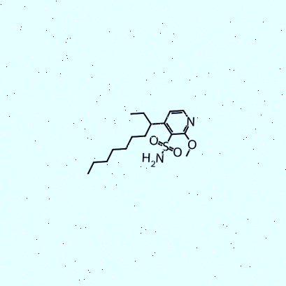 CCCCCCCC(CC)c1ccnc(OC)c1S(N)(=O)=O